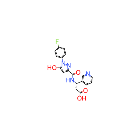 O=C(O)C[C@H](NC(=O)c1cc(O)n(-c2ccc(F)cc2)n1)c1cccnc1